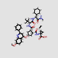 C=C[C@@H]1C[C@]1(NC(=O)[C@@H]1C[C@@H](Oc2cc(-c3ccccc3)nc3cc(OC)ccc23)C[C@H]1C(=O)N[C@H](C(=O)N[C@H](C(=O)NC)C1CCCCC1)C(C)(C)C)C(=O)O